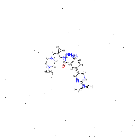 CN1CCN(CC2(CN(N)C(=O)c3cc(-c4cnc(N(C)C)nc4)ccc3N)CC2)CC1